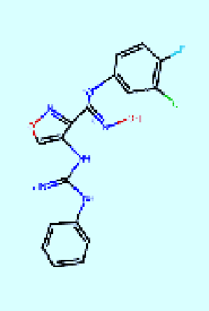 N=C(Nc1ccccc1)Nc1conc1/C(=N/O)Nc1ccc(F)c(Cl)c1